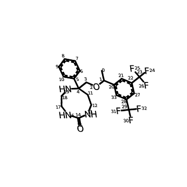 CC(OCC1(c2ccccc2)CCNC(=O)NCCN1)c1cc(C(F)(F)F)cc(C(F)(F)F)c1